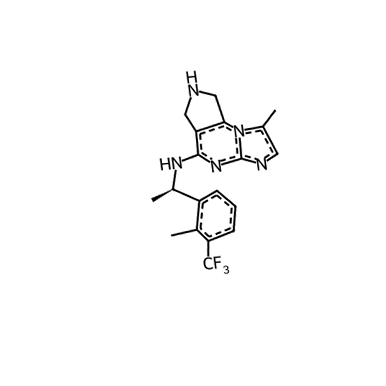 Cc1c([C@@H](C)Nc2nc3ncc(C)n3c3c2CNC3)cccc1C(F)(F)F